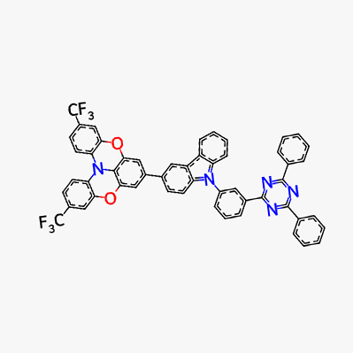 FC(F)(F)c1ccc2c(c1)Oc1cc(-c3ccc4c(c3)c3ccccc3n4-c3cccc(-c4nc(-c5ccccc5)nc(-c5ccccc5)n4)c3)cc3c1N2c1ccc(C(F)(F)F)cc1O3